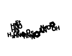 CCNC(=O)NC[C@H](C)N[C@H]1C[C@@H](C(=O)Nc2nc3ccc(-c4cnc(CO[C@H]5CCC[C@@H]5O)nc4)cc3s2)C1